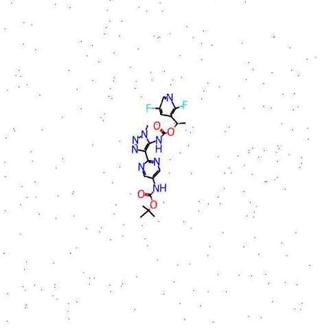 C[C@@H](OC(=O)Nc1c(-c2ncc(NC(=O)OC(C)(C)C)cn2)nnn1C)c1cc(F)cnc1F